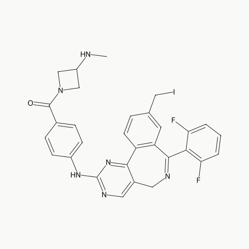 CNC1CN(C(=O)c2ccc(Nc3ncc4c(n3)-c3ccc(CI)cc3C(c3c(F)cccc3F)=NC4)cc2)C1